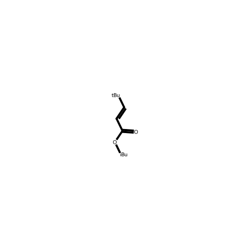 CCC(C)OC(=O)C=CC(C)(C)C